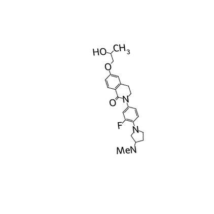 CNC1CCN(c2ccc(N3CCc4cc(OCC(C)O)ccc4C3=O)cc2F)C1